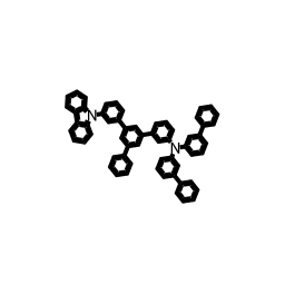 c1ccc(-c2cc(-c3cccc(N(c4cccc(-c5ccccc5)c4)c4cccc(-c5ccccc5)c4)c3)cc(-c3cccc(-n4c5ccccc5c5ccccc54)c3)c2)cc1